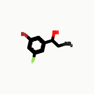 O=[N+]([O-])CC(O)c1cc(F)cc(Br)c1